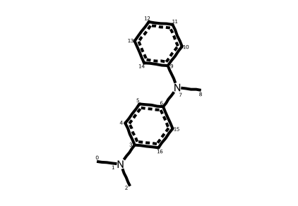 CN(C)c1ccc(N(C)c2ccccc2)cc1